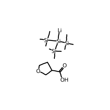 O=C(O)C1CCOC1.[Li][Si]([Si](C)(C)C)([Si](C)(C)C)[Si](C)(C)C